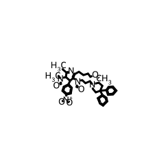 CCC1=NC(CCCCOC)=C(N(C=O)CCCN2CCC(c3ccccc3)(c3ccccc3)CC2)C(c2ccc([N+](=O)[O-])cc2)C1N(C)C=O